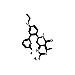 CCOc1ccc(C2Cc3nc(N)nc(C)c3C(=O)N2)c(-c2cccc(OC)n2)c1